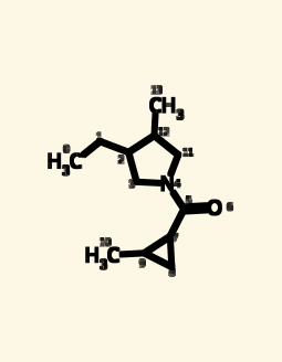 CCC1CN(C(=O)C2CC2C)CC1C